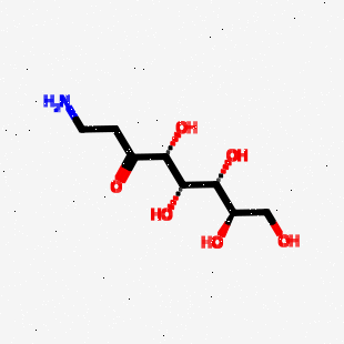 NCCC(=O)[C@H](O)[C@@H](O)[C@H](O)[C@H](O)CO